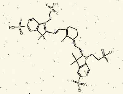 CC1=C(/C=C/C2=[N+](CCS(=O)(=O)O)c3ccc(S(=O)(=O)O)cc3C2(C)C)CCC/C1=C\C=C1\N(CCS(=O)(=O)O)c2ccc(S(=O)(=O)O)cc2C1(C)C